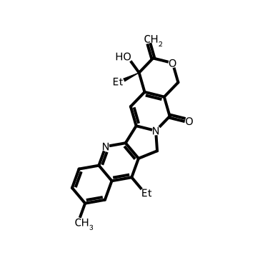 C=C1OCc2c(cc3n(c2=O)Cc2c-3nc3ccc(C)cc3c2CC)[C@@]1(O)CC